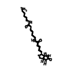 NCCCCCNC(=O)CCCCCNC(=O)CCCC[C@@H]1SC[C@@H]2NC(=O)N[C@@H]21